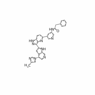 Cc1cn(-c2cncc3[nH]c(-c4n[nH]c5ccc(-c6cncc(NC(=O)Cc7ccccc7)c6)nc45)cc23)cn1